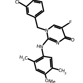 COc1cc(C)c(Nc2nc(=O)c(F)cn2Cc2cccc(Cl)c2)cc1C